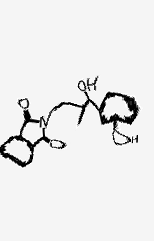 CC(CN1C(=O)c2ccccc2C1=O)C(O)c1cccc(O)c1